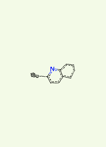 [CH2]C(C)(C)c1ccc2ccccc2n1